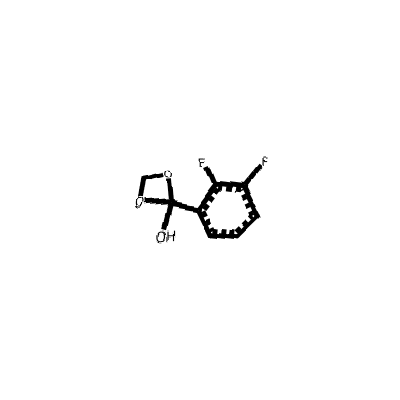 OC1(c2cccc(F)c2F)OCO1